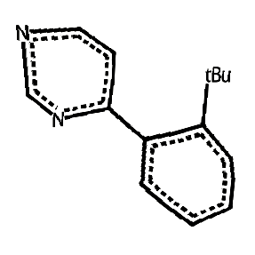 CC(C)(C)c1ccccc1-c1ccncn1